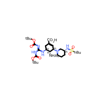 CCCCS(=O)(=O)N[C@@H]1CCCN([C@@H]2C=C(C(=O)O)C[C@H](NC(=NC(=O)OC(C)(C)C)NC(=O)OC(C)(C)C)[C@H]2NC(C)=O)C1